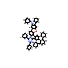 c1ccc(-c2nc(-c3ccccc3)nc(-c3cc(-c4c(-c5ccccc5)cccc4-c4ccccc4)ccc3-c3cccc4c3oc3cc5c6ccccc6n(-c6ccccc6)c5cc34)n2)cc1